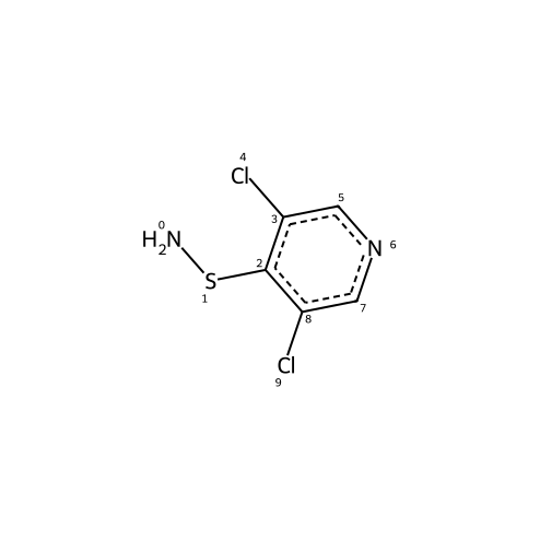 NSc1c(Cl)cncc1Cl